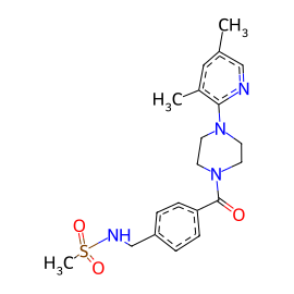 Cc1cnc(N2CCN(C(=O)c3ccc(CNS(C)(=O)=O)cc3)CC2)c(C)c1